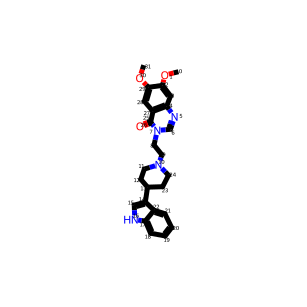 COc1cc2ncn(CCN3CCC(c4c[nH]c5ccccc45)CC3)c(=O)c2cc1OC